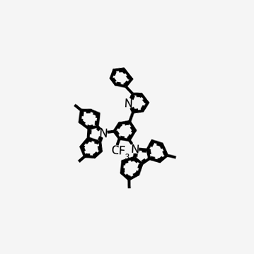 Cc1ccc2c(c1)c1cc(C)ccc1n2-c1cc(-c2cccc(-c3ccccc3)n2)cc(-n2c3ccc(C)cc3c3cc(C)ccc32)c1C(F)(F)F